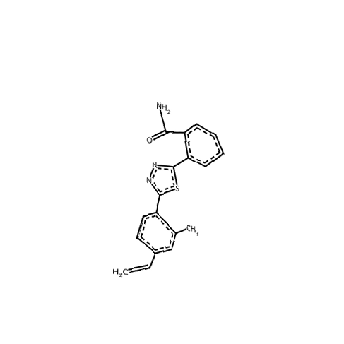 C=Cc1ccc(-c2nnc(-c3ccccc3C(N)=O)s2)c(C)c1